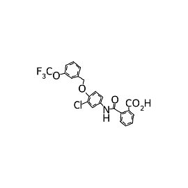 O=C(O)c1ccccc1C(=O)Nc1ccc(OCc2cccc(OC(F)(F)F)c2)c(Cl)c1